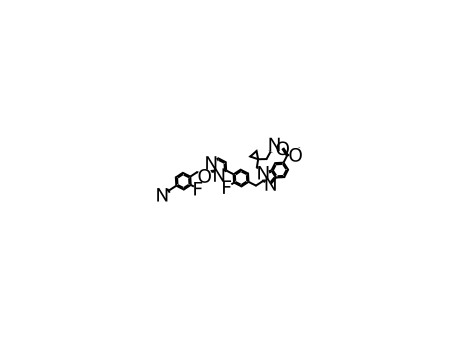 COC(=O)c1ccc2nc(Cc3ccc(-c4ccnc(OCc5ccc(C#N)cc5F)n4)c(F)c3)n(CC3(CC#N)CC3)c2c1